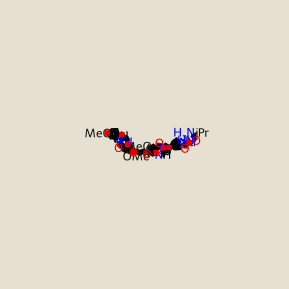 COc1ccc2c(c1)CN1C(=O)c3cc(OC)c(OCCCOc4cc5c(cc4OC)C(=O)N4C=C(c6ccc(NC(=O)[C@H](C)NC(=O)[C@@H](N)C(C)C)cc6)C[C@H]4C=N5)cc3N=C[C@@H]1C2